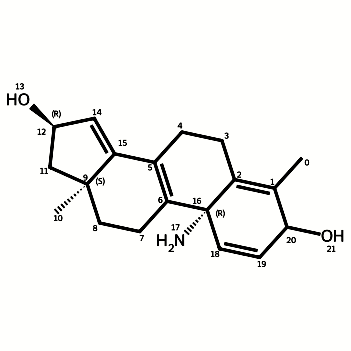 CC1=C2CCC3=C(CC[C@@]4(C)C[C@@H](O)C=C34)[C@]2(N)C=CC1O